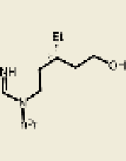 CCCN(C=N)CC[C@H](CC)CCO